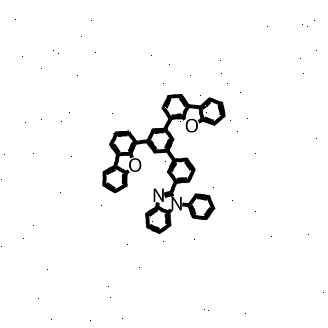 c1ccc(-n2c(-c3cccc(-c4cc(-c5cccc6c5oc5ccccc56)cc(-c5cccc6c5oc5ccccc56)c4)c3)nc3ccccc32)cc1